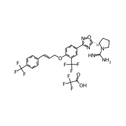 N=C(N)N1CCC[C@H]1c1nc(-c2ccc(OCC=Cc3ccc(C(F)(F)F)cc3)c(C(F)(F)F)c2)no1.O=C(O)C(F)(F)F